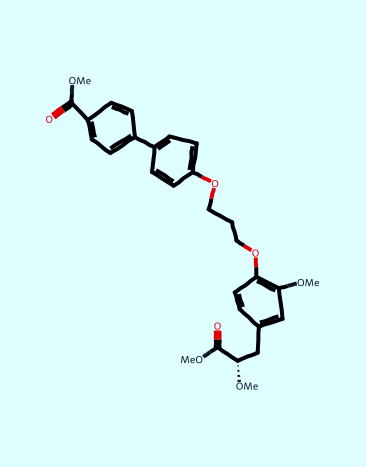 COC(=O)c1ccc(-c2ccc(OCCCOc3ccc(C[C@H](OC)C(=O)OC)cc3OC)cc2)cc1